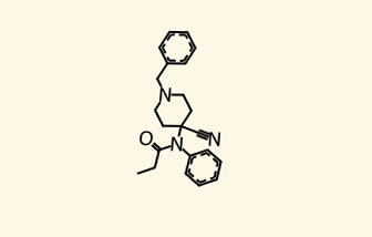 CCC(=O)N(c1ccccc1)C1(C#N)CCN(Cc2ccccc2)CC1